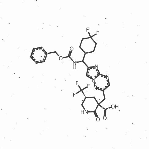 O=C(N[C@H](c1cn2nc(CC3(C(=O)O)C[C@H](C(F)(F)F)CNC3=O)cnc2n1)C1CCC(F)(F)CC1)OCc1ccccc1